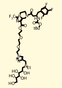 CCN(Cc1cn(CCOCCOCCOC(=O)c2nc(C(F)(F)F)n3c2CN(C(=O)CC(Cc2cc(F)c(F)cc2F)NC(=O)OC(C)(C)C)CC3)nn1)C[C@H](O)[C@@H](O)[C@H](O)[C@H](O)CO